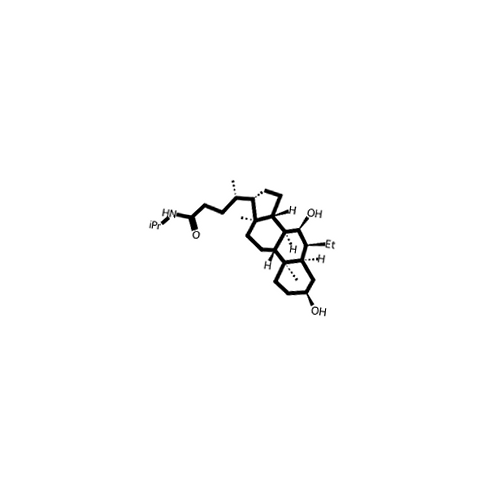 CC[C@@H]1[C@H](O)[C@H]2[C@@H](CC[C@]3(C)[C@@H]2CC[C@H]3[C@@H](C)CCC(=O)NC(C)C)[C@]2(C)CC[C@H](O)C[C@H]12